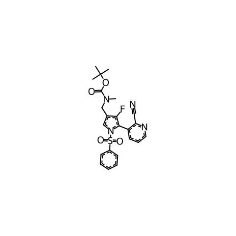 CN(Cc1cn(S(=O)(=O)c2ccccc2)c(-c2cccnc2C#N)c1F)C(=O)OC(C)(C)C